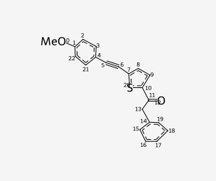 COc1ccc(C#Cc2ccc(C(=O)Cc3ccccc3)s2)cc1